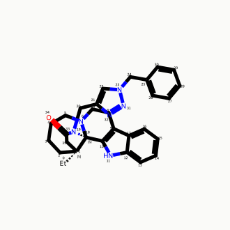 CC[C@@]12CCCCN3CCc4c([nH]c5ccccc45)[C@]31N(Cc1cn(Cc3ccccc3)nn1)C(=O)C2